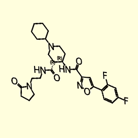 O=C(N[C@@H]1CCN(C2CCCCC2)C[C@H]1C(=O)NCCN1CCCC1=O)c1cc(-c2ccc(F)cc2F)on1